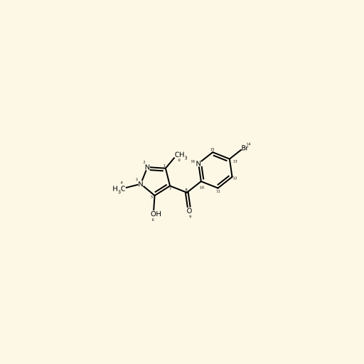 Cc1nn(C)c(O)c1C(=O)c1ccc(Br)cn1